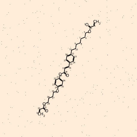 C=CC(=O)OCCCCCCCc1ccc(C=CC(=O)Oc2ccc(OCCCCOC(=O)C=C)cc2)cc1